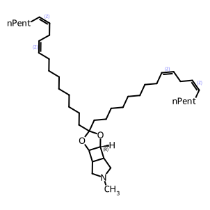 CCCCC/C=C\C/C=C\CCCCCCCCC1(CCCCCCCC/C=C\C/C=C\CCCCC)OC2C3CN(C)CC3[C@H]2O1